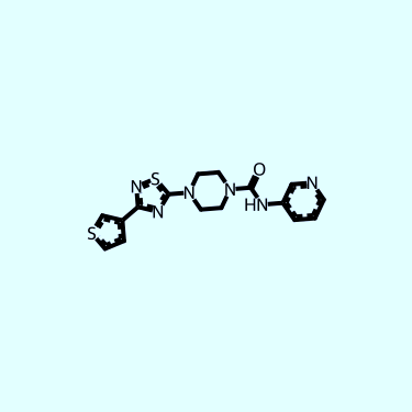 O=C(Nc1cccnc1)N1CCN(c2nc(-c3ccsc3)ns2)CC1